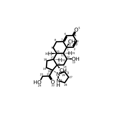 C[C@]12C=CC(=O)C=C1CC[C@@H]1[C@@H]2[C@@H](O)C[C@@]2(C)[C@H]1CC[C@@]2(C(=O)CO)N1CCCN1